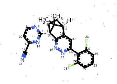 CC1(C)[C@H]2CC[C@]1(c1nccc(C#N)n1)c1nnc(-c3c(F)cccc3F)cc12